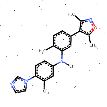 CCN(c1ccc(-n2ccnc2)c(C(F)(F)F)c1)c1cc(-c2c(C)noc2C)ccc1C